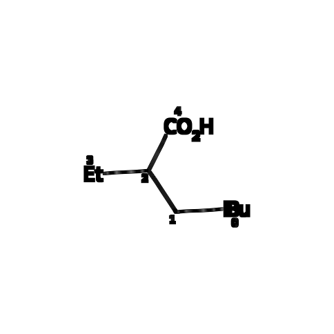 CCC(C)CC(CC)C(=O)O